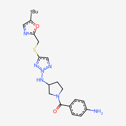 CC(C)(C)c1cnc(CSc2cnn(NC3CCN(C(=O)c4ccc(N)cc4)C3)n2)o1